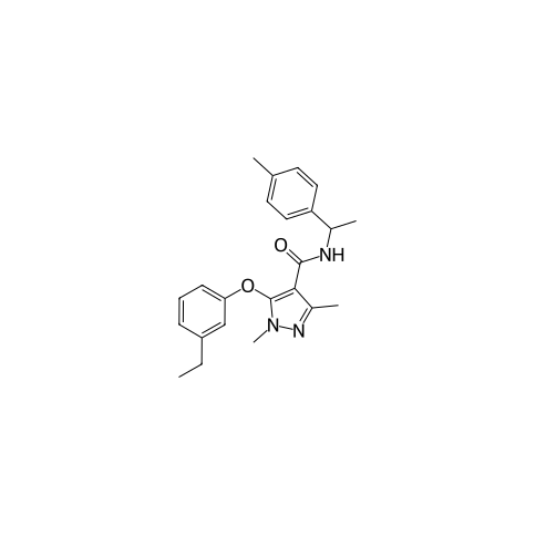 CCc1cccc(Oc2c(C(=O)NC(C)c3ccc(C)cc3)c(C)nn2C)c1